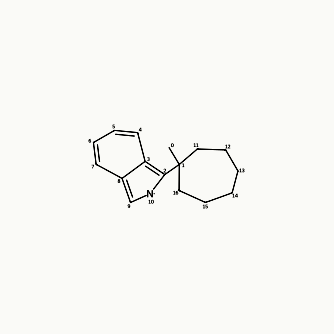 CC1(C2=c3ccccc3=C[N]2)CCCCCC1